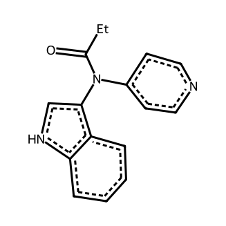 CCC(=O)N(c1ccncc1)c1c[nH]c2ccccc12